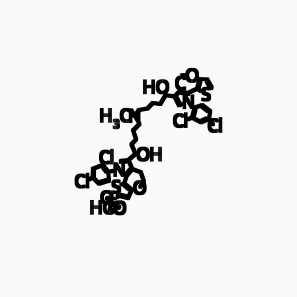 CN(CCCCC(O)c1cn(-c2ccc(Cl)cc2Cl)c2c1CCOc1ccsc1-2)CCCCC(O)c1cn(-c2ccc(Cl)cc2Cl)c2c1CCOc1cc(S(=O)(=O)O)sc1-2